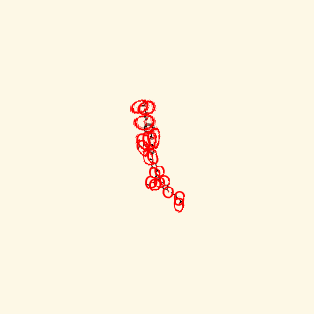 C=CC(=O)OCCCCOc1ccc(C(=O)Oc2ccc(OC(=O)C3CCC(C(=O)Oc4ccc(OC(=O)c5ccc(OCCCCOC(=O)C=C)cc5)c(C(=O)OC(=C)C)c4)CC3)cc2C(=O)OC(=C)C)cc1